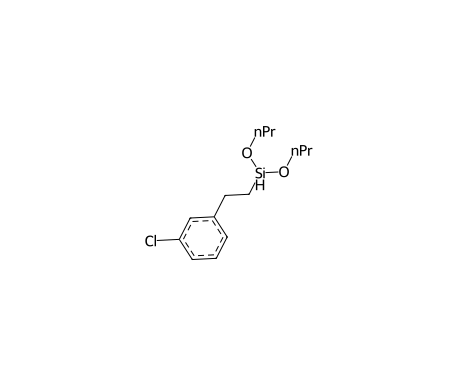 CCCO[SiH](CCc1cccc(Cl)c1)OCCC